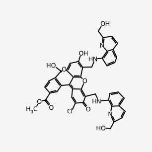 COC(=O)c1ccc(C(=O)O)c(-c2c3cc(Cl)c(=O)c(CNc4cccc5ccc(CO)nc45)c-3oc3c(CNc4cccc5ccc(CO)nc45)c(O)ccc23)c1